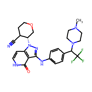 CN1CCN(C(c2ccc(Nc3nn([C@H]4COCCC4C#N)c4cc[nH]c(=O)c34)cc2)C(F)(F)F)CC1